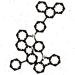 c1ccc(-c2cccc3oc4c(ccc5cccc(N(c6ccc(-c7cc8ccccc8c8ccccc78)cc6)c6ccc(-n7c8ccccc8c8ccccc87)cc6)c54)c23)cc1